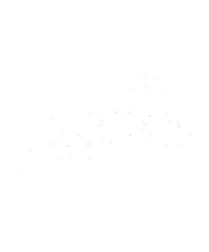 CN(Cc1ccccc1)C(=O)[C@@H](NC(=O)c1cc2cc(NC(=O)c3cccnc3-c3ccc(C(F)(F)F)cc3)ccc2n1C)c1ccccc1